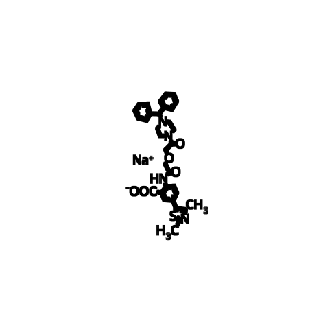 Cc1nc(C)c(-c2ccc(NC(=O)COCC(=O)N3CCN(C(c4ccccc4)c4ccccc4)CC3)c(C(=O)[O-])c2)s1.[Na+]